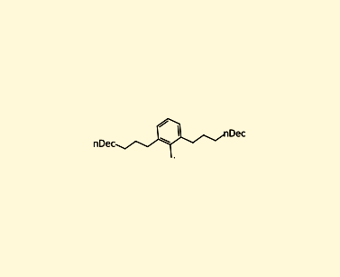 [CH2]c1c(CCCCCCCCCCCCC)cccc1CCCCCCCCCCCCC